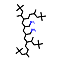 CC(CCC(CC(CN)CC(CN)CC(CCC(C)CC(C)(C)C)C(C)CC(C)(C)C)C(C)CC(C)(C)C)CC(C)(C)C